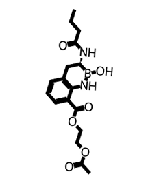 CCCC(=O)N[C@H]1Cc2cccc(C(=O)OCCOC(C)=O)c2NB1O